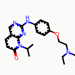 CCN(CC)CCOc1ccc(Nc2ncc3ccc(=O)n(C(C)C)c3n2)cc1